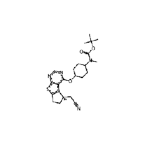 CN(C(=O)OC(C)(C)C)C1CCC(Oc2ncnc3sc4c(c23)[C@@H](CC#N)CC4)CC1